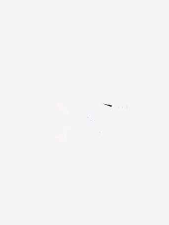 CCOC(=O)[C@]1(N(C(C)=O)C(=O)OC(C)(C)C)C[C@H]1C